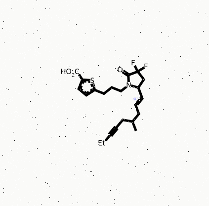 CCC#CCC(C)C/C=C/C1CC(F)(F)C(=O)N1CCCc1ccc(C(=O)O)s1